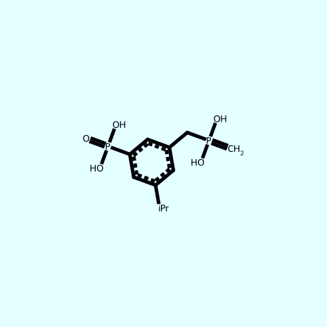 C=P(O)(O)Cc1cc(C(C)C)cc(P(=O)(O)O)c1